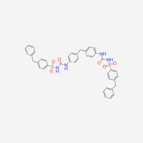 O=C(Nc1ccc(Cc2ccc(NC(=O)NS(=O)(=O)c3ccc(Cc4ccccc4)cc3)cc2)cc1)NS(=O)(=O)c1ccc(Cc2ccccc2)cc1